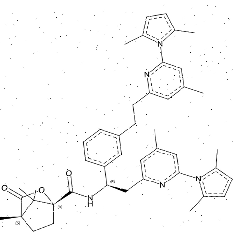 Cc1cc(CCc2cccc([C@@H](Cc3cc(C)cc(-n4c(C)ccc4C)n3)NC(=O)[C@]34CC[C@](C)(C(=O)O3)C4(C)C)c2)nc(-n2c(C)ccc2C)c1